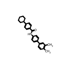 Cc1ccc(-c2ccc(NC(=O)c3ccc(C4CCCCC4)cc3)cc2)cc1C